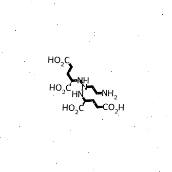 NCCN(N[C@@H](CCC(=O)O)C(=O)O)N[C@@H](CCC(=O)O)C(=O)O